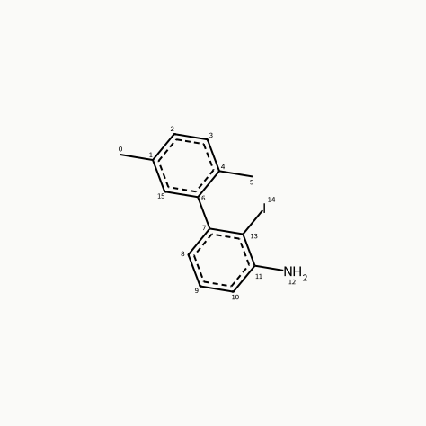 Cc1ccc(C)c(-c2cccc(N)c2I)c1